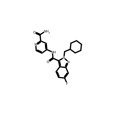 NC(=O)c1cc(NC(=O)c2c3ccc(F)cc3nn2CC2CCCCC2)ccn1